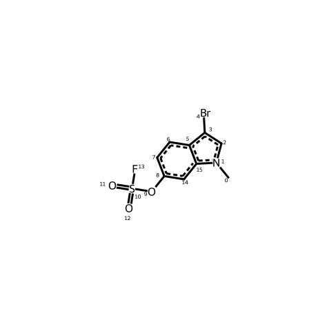 Cn1cc(Br)c2ccc(OS(=O)(=O)F)cc21